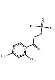 Cc1ccc(C(=O)COP(C)(C)=O)c(C)c1